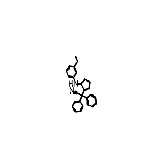 CCc1cccc(NC2CCCC2C(C#N)(c2ccccc2)c2ccccc2)c1